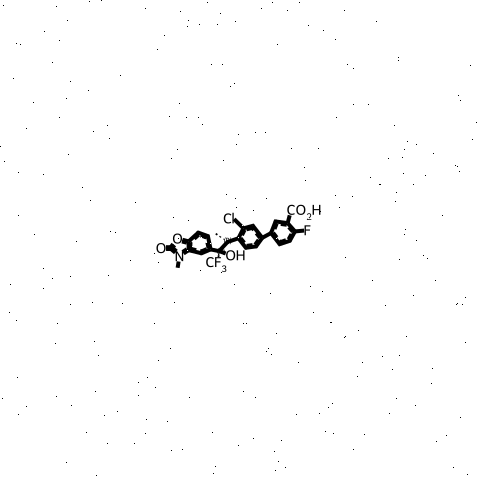 C[C@H](c1ccc(-c2ccc(F)c(C(=O)O)c2)cc1Cl)[C@@](O)(c1ccc2oc(=O)n(C)c2c1)C(F)(F)F